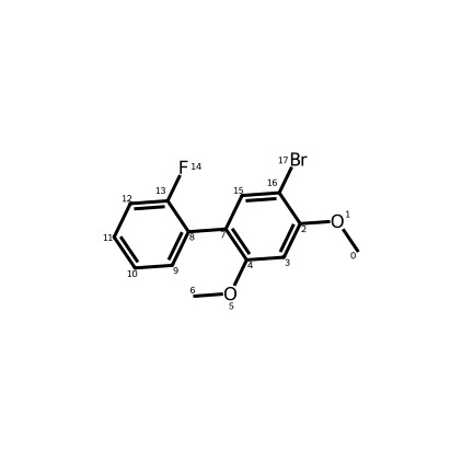 COc1cc(OC)c(-c2ccccc2F)cc1Br